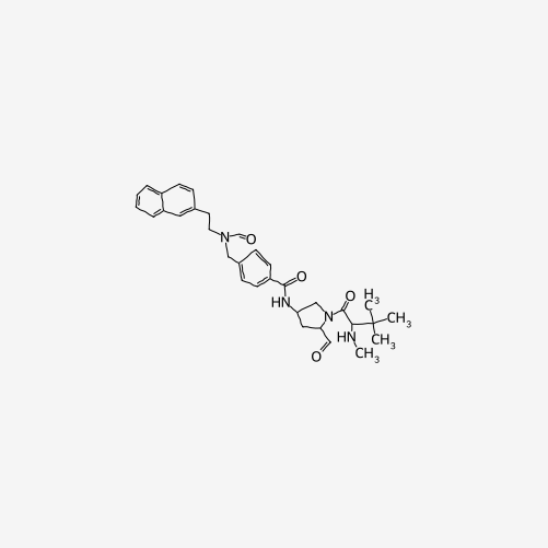 CNC(C(=O)N1CC(NC(=O)c2ccc(CN(C=O)CCc3ccc4ccccc4c3)cc2)CC1C=O)C(C)(C)C